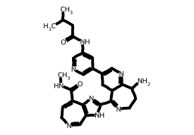 CNC(=O)C1=CCN=Cc2[nH]c(C3=NCCC(N)C4=NC=C(c5cncc(NC(=O)CC(C)C)c5)CC34)nc21